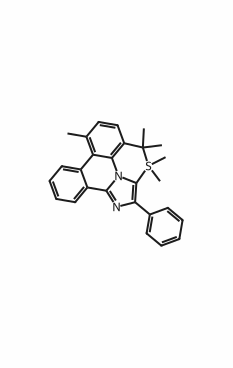 Cc1ccc2c3c1c1ccccc1c1nc(-c4ccccc4)c(n13)S(C)(C)C2(C)C